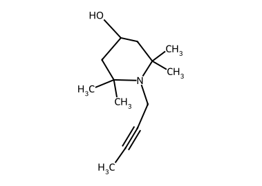 CC#CCN1C(C)(C)CC(O)CC1(C)C